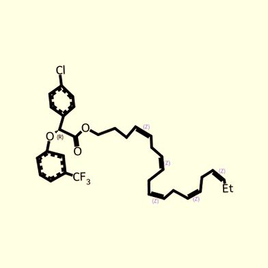 CC/C=C\C/C=C\C/C=C\C/C=C\C/C=C\CCCOC(=O)[C@H](Oc1cccc(C(F)(F)F)c1)c1ccc(Cl)cc1